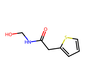 O=C(Cc1cccs1)NCO